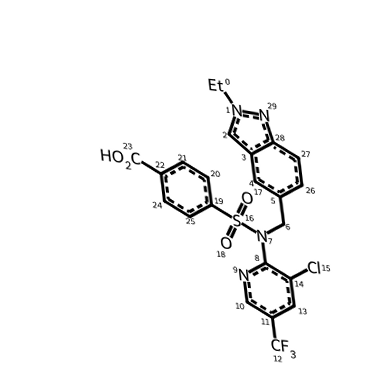 CCn1cc2cc(CN(c3ncc(C(F)(F)F)cc3Cl)S(=O)(=O)c3ccc(C(=O)O)cc3)ccc2n1